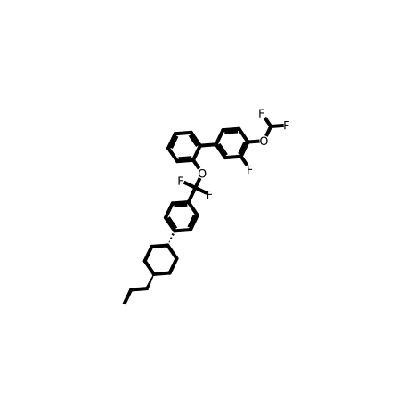 CCC[C@H]1CC[C@H](c2ccc(C(F)(F)Oc3ccccc3-c3ccc(OC(F)F)c(F)c3)cc2)CC1